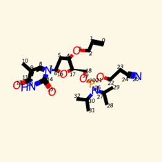 C=CCOC1C[C@H](n2cc(C)c(=O)[nH]c2=O)O[C@@H]1COP(OCCC#N)N(C(C)C)C(C)C